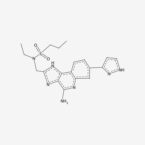 CCCS(=O)(=O)N(CC)Cc1nc2c(N)nc3cc(-c4cc[nH]n4)ccc3c2[nH]1